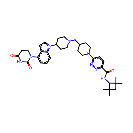 CC1(C)CC(C)(C)C1NC(=O)c1ccc(N2CCC(CN3CCC(n4ccc5c(N6CCC(=O)NC6=O)cccc54)CC3)CC2)nn1